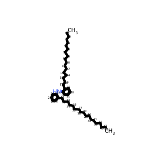 CCCCCCCCCCCCCCCCCCc1ccccc1Nc1ccccc1CCCCCCCCCCCCCCCCCC